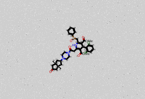 COC(=O)C1=C(CC(=O)N2CCN(C3C[C@]4(C)CC(=O)C[C@]4(C)C3)CC2)NC(C[S+]([O-])c2ccccc2)=C(C(=O)OC)C1c1c(Cl)cccc1Cl